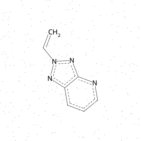 C=Cn1nc2cccnc2n1